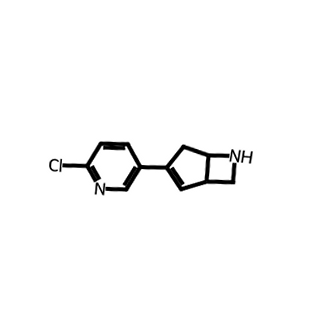 Clc1ccc(C2=CC3CNC3C2)cn1